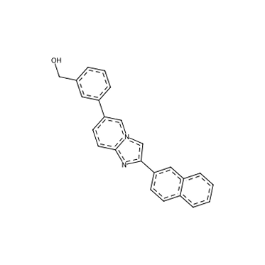 OCc1cccc(-c2ccc3nc(-c4ccc5ccccc5c4)cn3c2)c1